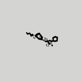 CCCCCO[C@@H]1CCC[C@@H](C[C@](N)(CCC2CCCCC2)C(=O)NC)C1